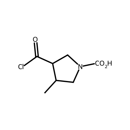 CC1CN(C(=O)O)CC1C(=O)Cl